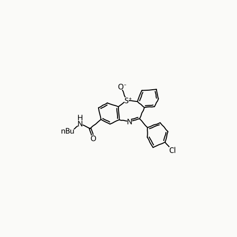 CCCCNC(=O)c1ccc2c(c1)N=C(c1ccc(Cl)cc1)c1ccccc1[S+]2[O-]